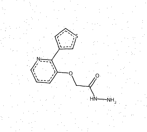 NNC(=O)COc1cccnc1-c1ccsc1